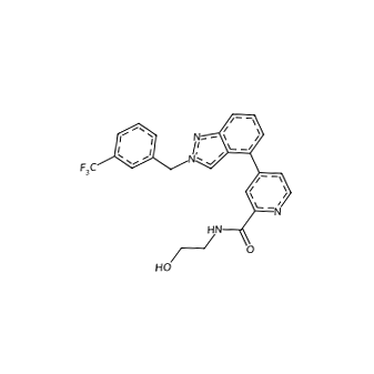 O=C(NCCO)c1cc(-c2cccc3nn(Cc4cccc(C(F)(F)F)c4)cc23)ccn1